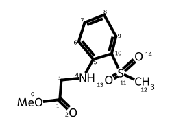 COC(=O)CNc1ccccc1S(C)(=O)=O